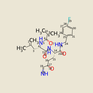 CC(C)C[C@H](NC(=O)C(C)C)C(=O)N[C@@H](CCC(=O)C=N)C(=O)NCc1ccc(F)cc1